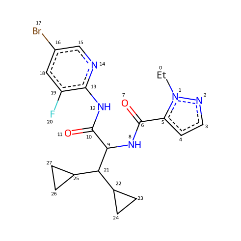 CCn1nccc1C(=O)NC(C(=O)Nc1ncc(Br)cc1F)C(C1CC1)C1CC1